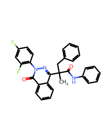 CC(Cc1ccccc1)(C(=O)Nc1ccccc1)c1nn(-c2ccc(F)cc2F)c(=O)c2ccccc12